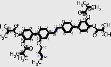 C=C(C)C(=O)Oc1ccc(-c2ccc(/C=C/c3ccc(-c4ccc(OC(=O)C(=C)C)c(OC(=O)C(=C)C)c4)c(OC/C=C/C)c3)cc2)cc1OC(=O)C(=C)C